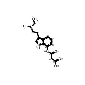 CCN(C)CCc1c[nH]c2c(OC(=O)CC(=O)O)cccc12